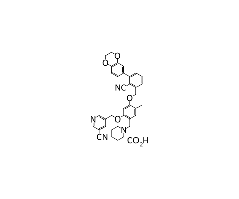 Cc1cc(CN2CCCC[C@H]2C(=O)O)c(OCc2cncc(C#N)c2)cc1OCc1cccc(-c2ccc3c(c2)OCCO3)c1C#N